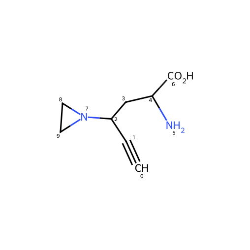 C#CC(CC(N)C(=O)O)N1CC1